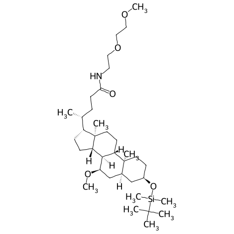 COCCOCCNC(=O)CC[C@@H](C)[C@H]1CC[C@H]2[C@@H]3[C@H](OC)C[C@@H]4C[C@H](O[Si](C)(C)C(C)(C)C)CC[C@]4(C)[C@H]3CC[C@]12C